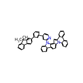 CC1(C)c2ccccc2-c2ccc(-c3cccc(-c4ccnc(-n5c6ccccc6c6ccc7c(cc8c9ccccc9c9ccccc9n87)c65)c4)c3)cc21